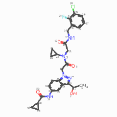 CC(O)c1nn(CC(=O)N(CC(=O)NCc2cccc(Cl)c2F)C2CC2)c2ccc(NC(=O)C3CC3)cc12